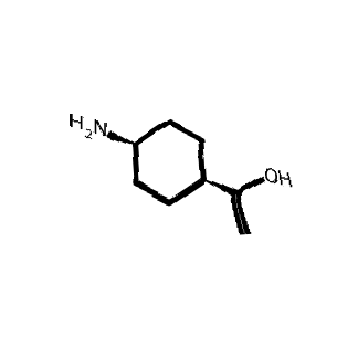 C=C(O)[C@H]1CC[C@@H](N)CC1